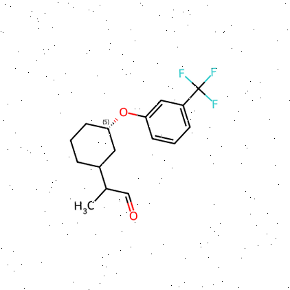 CC(C=O)C1CCC[C@H](Oc2cccc(C(F)(F)F)c2)C1